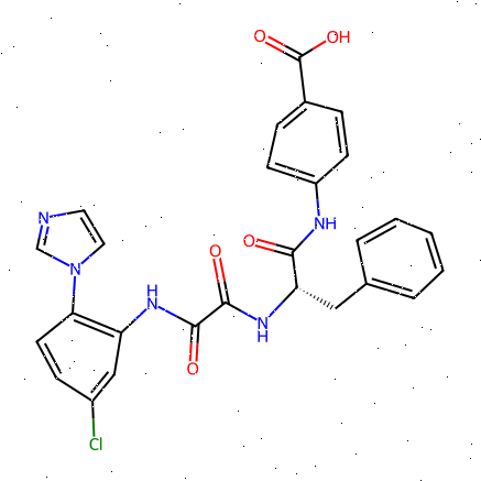 O=C(Nc1cc(Cl)ccc1-n1ccnc1)C(=O)N[C@@H](Cc1ccccc1)C(=O)Nc1ccc(C(=O)O)cc1